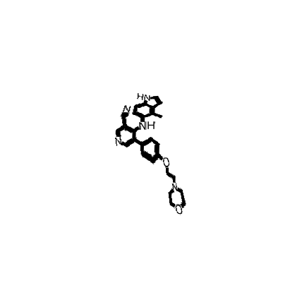 Cc1c(Nc2c(C#N)cncc2-c2ccc(OCCN3CCOCC3)cc2)ccc2[nH]ccc12